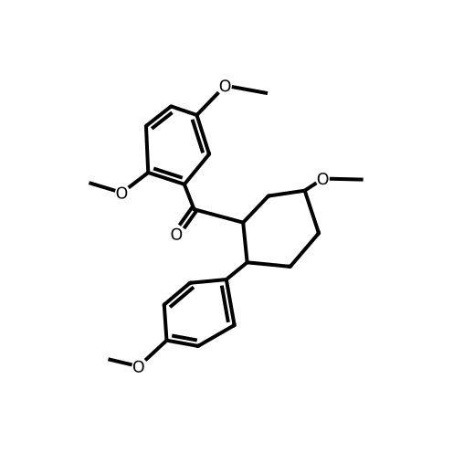 COc1ccc(C2CCC(OC)CC2C(=O)c2cc(OC)ccc2OC)cc1